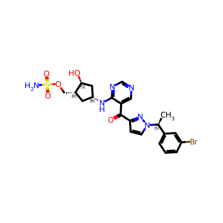 C[C@@H](c1cccc(Br)c1)n1ccc(C(=O)c2cncnc2N[C@@H]2C[C@H](COS(N)(=O)=O)[C@@H](O)C2)n1